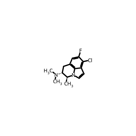 C[C@H]1[C@H](N(C)C)Cc2cc(F)c(Cl)c3ccn1c23